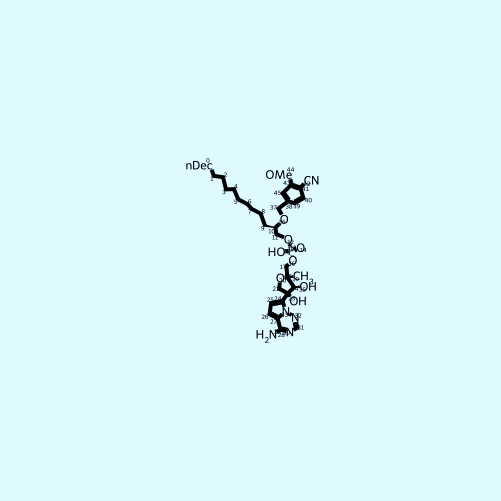 CCCCCCCCCCCCCCCCCCC[C@H](COP(=O)(O)OC[C@@]1(C)OCC(O)(c2ccc3c(N)ncnn23)[C@@H]1O)OCc1ccc(C#N)c(OC)c1